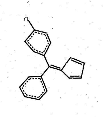 Clc1ccc(C(=C2C=CC=C2)c2ccccc2)cc1